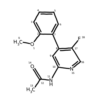 COc1ccccc1-c1cc(NC(C)=O)ncc1F